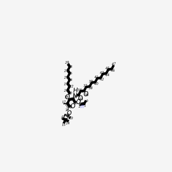 C/C=C\O[C@H]1O[C@H](CO[Si](C)(C)C(C)(C)C)[C@@H](C)[C@H](OCCCCCCCCCC)[C@H]1NC(=O)CC(=O)CCCCCCCCCCC